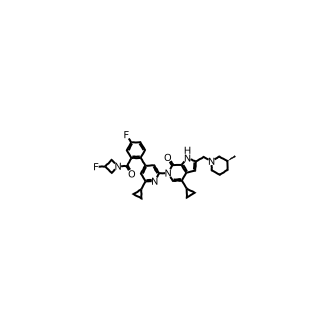 C[C@H]1CCCN(Cc2cc3c(C4CC4)cn(-c4cc(-c5ccc(F)cc5C(=O)N5CC(F)C5)cc(C5CC5)n4)c(=O)c3[nH]2)C1